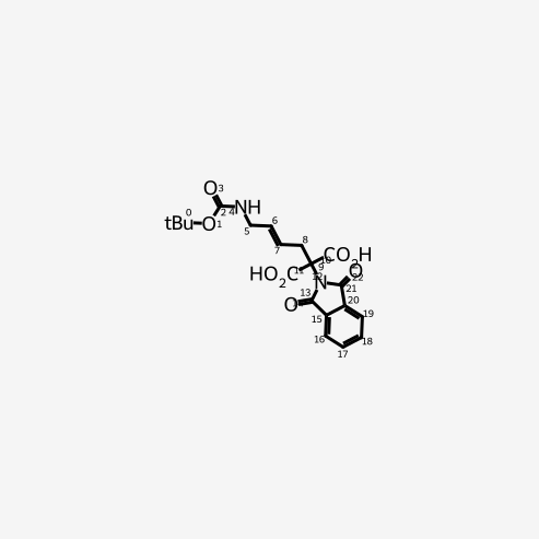 CC(C)(C)OC(=O)NCC=CCC(C(=O)O)(C(=O)O)N1C(=O)c2ccccc2C1=O